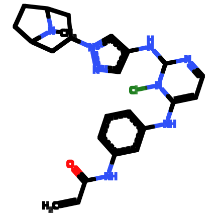 C=CC(=O)Nc1cccc(NC2=CC=NC(Nc3cnn(C4CC5CCC(C4)N5C)c3)N2Cl)c1